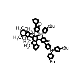 CC(C)(C)c1ccc(N2B3c4cc5oc6ccccc6c5cc4-n4c5cc6c(cc5c5c7c(c(c3c54)-c3cc4c(cc32)sc2cc(N(c3ccc(C(C)(C)C)cc3)c3ccc(C(C)(C)C)cc3)ccc24)-c2ccccc2C7(C)C)C(C)(C)CCC6(C)C)cc1